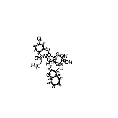 CCS(=O)(=NC)c1ccc(Cl)cc1COC(=O)N[C@@H](Cc1coc2ccccc12)B(O)O